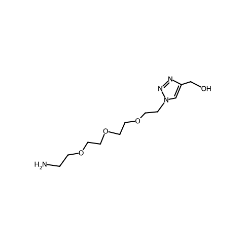 NCCOCCOCCOCCn1cc(CO)nn1